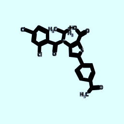 CC(=O)c1ccc(-c2cc(N(C(=O)c3ccc(Cl)cc3Cl)C(C)C)c(C(=O)O)s2)cc1